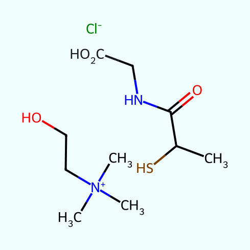 CC(S)C(=O)NCC(=O)O.C[N+](C)(C)CCO.[Cl-]